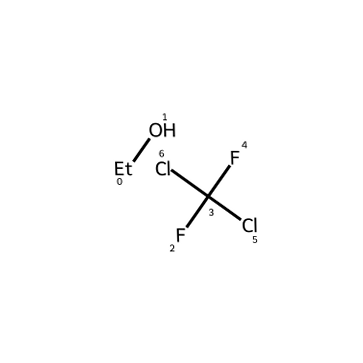 CCO.FC(F)(Cl)Cl